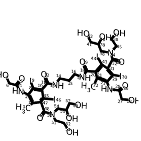 Cc1c(NC(=O)CO)c(I)c(C(=O)NCCCNC(=O)c2c(C)c(NC(=O)CO)c(I)c(C(=O)N(CCO)CC(O)CO)c2I)c(I)c1C(=O)N(CCO)CC(O)CO